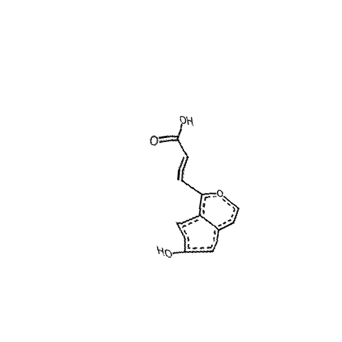 O=C(O)C=Cc1occc2cc(O)cc1-2